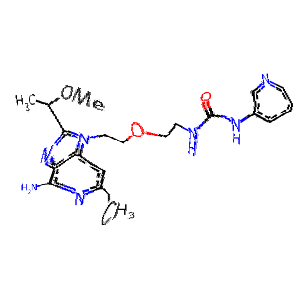 COC(C)c1nc2c(N)nc(C)cc2n1CCOCCNC(=O)Nc1cccnc1